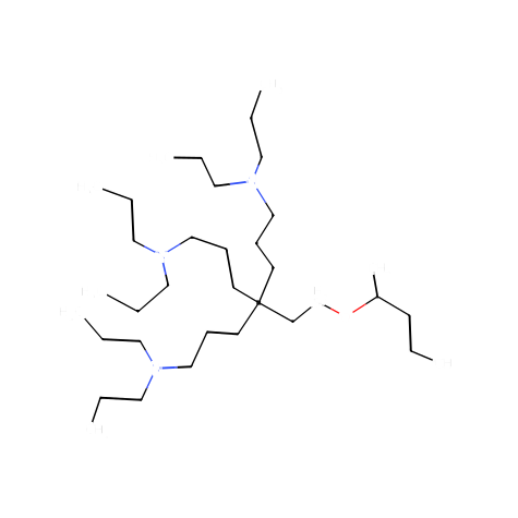 CCCC(C)O[SiH2]CC(CCCN(CCC)CCC)(CCCN(CCC)CCC)CCCN(CCC)CCC